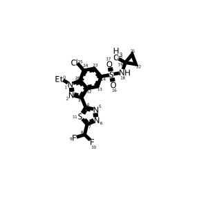 CCn1nc(-c2nnc(C(F)F)s2)c2cc(S(=O)(=O)NC3(C)CC3)cc(Cl)c21